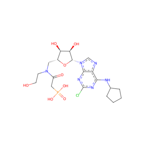 O=C(CP(=O)(O)O)N(CCO)C[C@H]1O[C@@H](n2cnc3c(NC4CCCC4)nc(Cl)nc32)[C@H](O)[C@@H]1O